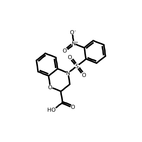 O=C(O)C1CN(S(=O)(=O)c2ccccc2[N+](=O)[O-])c2ccccc2O1